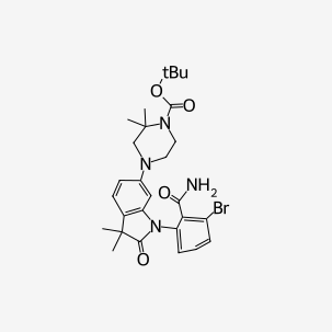 CC(C)(C)OC(=O)N1CCN(c2ccc3c(c2)N(c2cccc(Br)c2C(N)=O)C(=O)C3(C)C)CC1(C)C